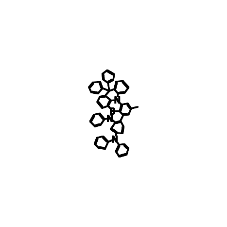 Cc1cc2c3c(c1)N1c4ccccc4C(c4ccccc4)(c4ccccc4)c4cccc(c41)B3N(c1ccccc1)c1cc(N(c3ccccc3)c3ccccc3)ccc1-2